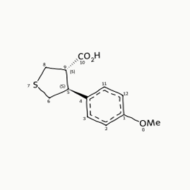 COc1ccc([C@H]2CSC[C@@H]2C(=O)O)cc1